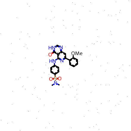 COc1ccccc1-c1cc2nc[nH]c(=O)c2c(Nc2ccc(S(=O)(=O)N(C)C)cc2)n1